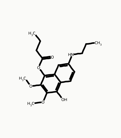 CCCNc1ccc2c(O)c(OC)c(OC)c(OC(=O)CCC)c2c1